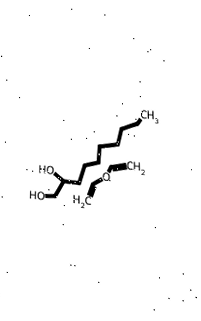 C=COC=C.CCCCCCCCC(O)CO